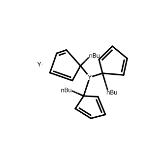 CCCC[C]1([Y]([C]2(CCCC)C=CC=C2)[C]2(CCCC)C=CC=C2)C=CC=C1.[Y]